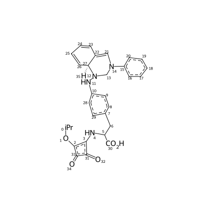 CC(C)Oc1c(NC(Cc2ccc(NN3CN(c4ccccc4)C=C4C=CC=C[C@@H]43)cc2)C(=O)O)c(=O)c1=O